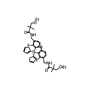 CCOCC(C)(C)C(=O)NCc1ccc(F)[c]([Ti]([C]2=CC=CC2)([C]2=CC=CC2)[c]2c(F)ccc(CNC(=O)C(C)(C)COCC)c2F)c1F